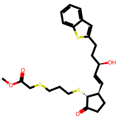 COC(=O)CSCCCS[C@H]1C(=O)CC[C@@H]1/C=C/[C@H](O)CCc1cc2ccccc2s1